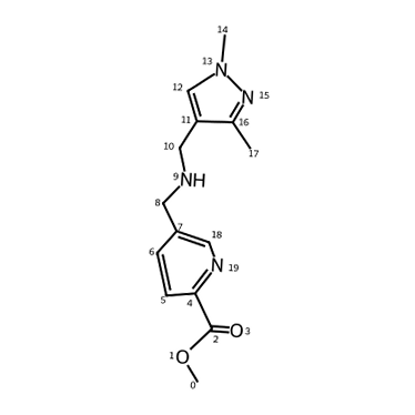 COC(=O)c1ccc(CNCc2cn(C)nc2C)cn1